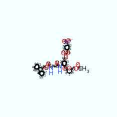 CC(=O)OC[C@H]1[CH][CH][CH][C@H](Oc2ccc(COC(=O)Oc3ccc([N+](=O)[O-])cc3)cc2NC(=O)CCNC(=O)OCC2c3ccccc3-c3ccccc32)O1